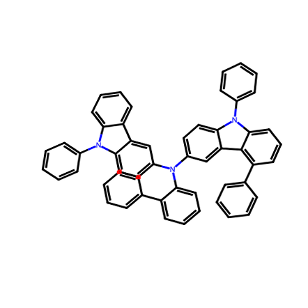 c1ccc(-c2ccccc2N(c2ccc3c(c2)c2ccccc2n3-c2ccccc2)c2ccc3c(c2)c2c(-c4ccccc4)cccc2n3-c2ccccc2)cc1